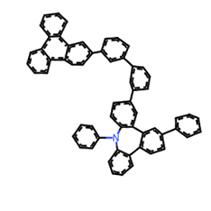 c1ccc(-c2ccc3c(c2)-c2cc(-c4cccc(-c5cccc(-c6ccc7c8ccccc8c8ccccc8c7c6)c5)c4)ccc2N(c2ccccc2)c2ccccc2-3)cc1